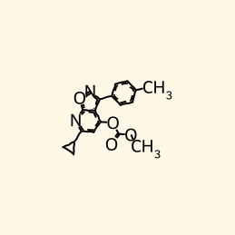 COC(=O)Oc1cc(C2CC2)nc2onc(-c3ccc(C)cc3)c12